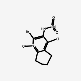 O=[SH](=O)Nc1c(Cl)c2c([n+]([O-])c1Br)CCCC2